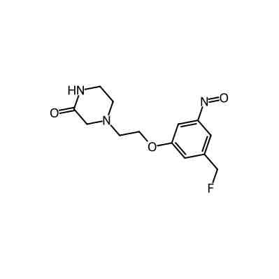 O=Nc1cc(CF)cc(OCCN2CCNC(=O)C2)c1